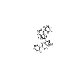 Cc1ccncc1-c1ccc2[nH]nc(-c3nc4c(-c5cccnc5)cncc4[nH]3)c2c1